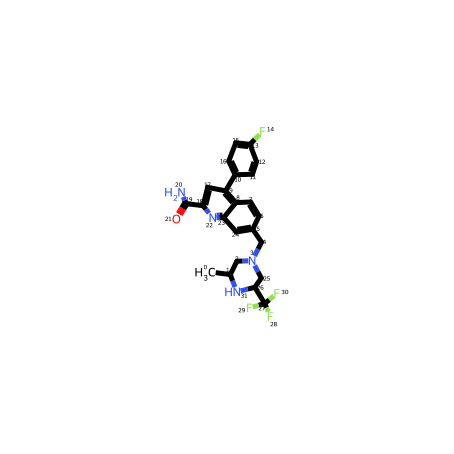 CC1CN(Cc2ccc3c(-c4ccc(F)cc4)cc(C(N)=O)nc3c2)CC(C(F)(F)F)N1